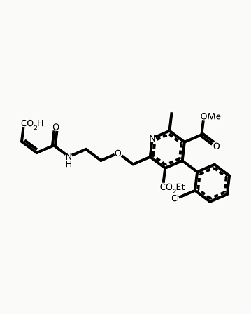 CCOC(=O)c1c(COCCNC(=O)/C=C\C(=O)O)nc(C)c(C(=O)OC)c1-c1ccccc1Cl